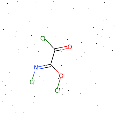 O=C(Cl)C(=NCl)OCl